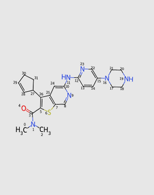 CN(C)C(=O)c1sc2cnc(Nc3ccc(N4CCNCC4)cn3)cc2c1C1C=CCC1